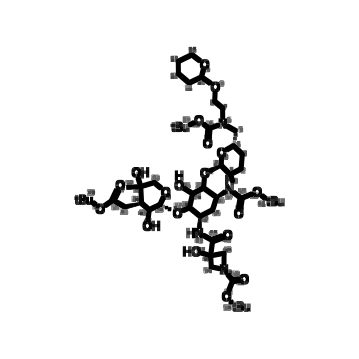 CC1CC[C@@H](CN(CCOC2CCCCO2)C(=O)OC(C)(C)C)O[C@@H]1OC1C(O)C(O[C@H]2OCC(C)(O)[C@H](CC(=O)OC(C)(C)C)C2O)[C@H](NC(=O)C2(O)CN(C(=O)OC(C)(C)C)C2)C[C@@H]1NC(=O)OC(C)(C)C